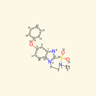 CCN1CCn2c(nc3cc(Oc4ccccc4)ccc32)S1(=O)=O